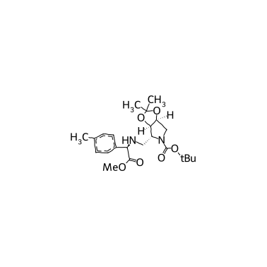 COC(=O)[C@H](NC[C@@H]1[C@H]2OC(C)(C)O[C@H]2CN1C(=O)OC(C)(C)C)c1ccc(C)cc1